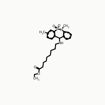 CCOC(=O)CCCCCCCCNC1c2ccccc2N(C)S(=O)(=O)c2cc(C)ccc21